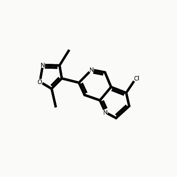 Cc1noc(C)c1-c1cc2nccc(Cl)c2cn1